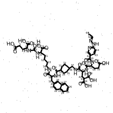 O=C(O)CCC(NC(=O)NC(CCCCNC(=O)C(Cc1ccc2ccccc2c1)NC(=O)C1CCC(CNC(=O)C(CC(C(=O)O)C(=O)O)NC(=O)C(CCC(=O)O)NC(=O)c2ccc(N/N=C/I)nc2)CC1)C(=O)O)C(=O)O